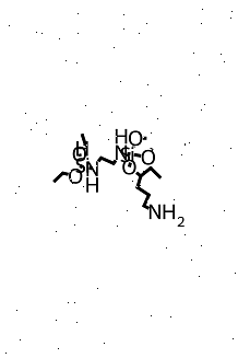 CCO[SiH](NCCN[Si](OC)(OC)OC(CC)CCCN)OCC